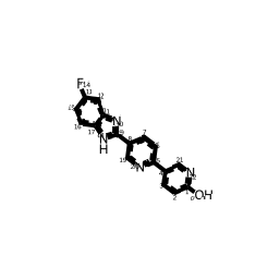 Oc1ccc(-c2ccc(-c3nc4cc(F)ccc4[nH]3)cn2)cn1